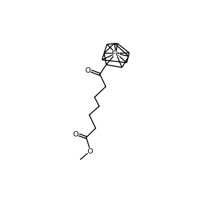 COC(=O)CCCCCC(=O)[C]12[CH]3[CH]4[CH]5[CH]1[Fe]45321678[CH]2[CH]1[CH]6[CH]7[CH]28